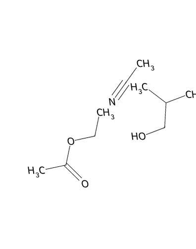 CC#N.CC(C)CO.CCOC(C)=O